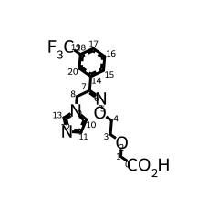 O=C(O)COCCON=C(Cn1ccnc1)c1cccc(C(F)(F)F)c1